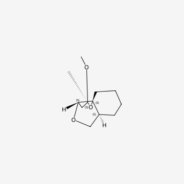 CO[C@]1(C)C[C@@H]2OC[C@@H]3CCCC[C@]32O1